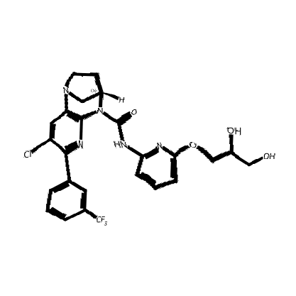 O=C(Nc1cccc(OCC(O)CO)n1)N1c2nc(-c3cccc(C(F)(F)F)c3)c(Cl)cc2N2CC[C@H]1C2